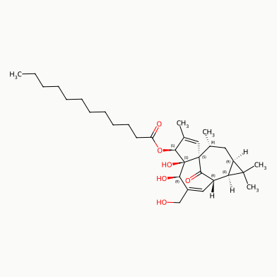 CCCCCCCCCCCC(=O)O[C@H]1C(C)=C[C@]23C(=O)[C@@H](C=C(CO)[C@@H](O)[C@]12O)[C@H]1[C@@H](C[C@H]3C)C1(C)C